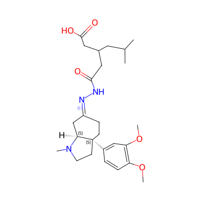 COc1ccc([C@@]23CC/C(=N\NC(=O)CC(CC(=O)O)CC(C)C)C[C@@H]2N(C)CC3)cc1OC